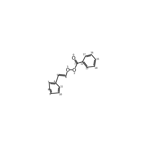 O=C(OOC=Cc1ccccc1)c1ccccc1